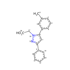 Cc1cccc(-c2cc(-c3ccccc3)nn2CC(=O)O)c1